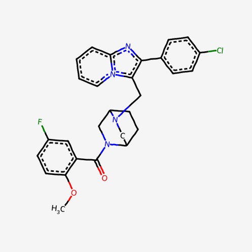 COc1ccc(F)cc1C(=O)N1CC2CCC1CN2Cc1c(-c2ccc(Cl)cc2)nc2ccccn12